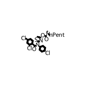 CCCCCN(C)C(=O)Oc1csc(N(C(=O)c2ccc(Cl)cc2Cl)c2ccc(Cl)cc2)n1